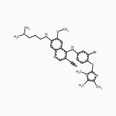 COc1cc2c(Nc3ccc(Sc4nc(C)c(C)n4C)c(Br)c3)c(C#N)cnc2cc1NCCCN(C)C